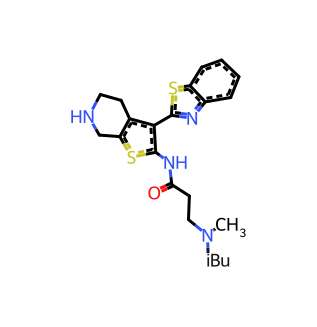 CCC(C)N(C)CCC(=O)Nc1sc2c(c1-c1nc3ccccc3s1)CCNC2